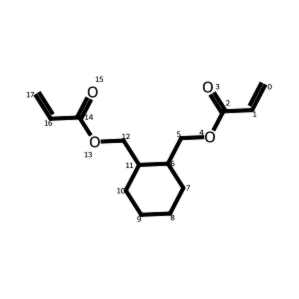 C=CC(=O)OCC1CCCCC1COC(=O)C=C